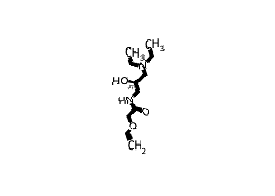 C=COCC(=O)NC[C@@H](O)CN(CC)CC